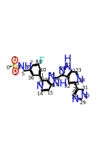 CS(=O)(=O)NCc1cc(F)cc(-c2nccc3[nH]c(-c4n[nH]c5cnc(-c6cncnc6)cc45)nc23)c1